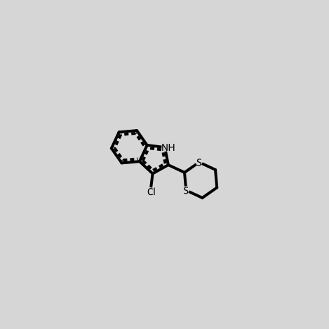 Clc1c(C2SCCCS2)[nH]c2ccccc12